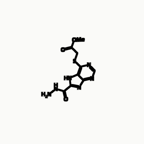 COC(=O)CSc1ncnc2nc(C(=O)NN)[nH]c12